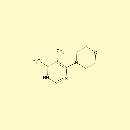 CC1=C(N2CCOCC2)N=CNC1C